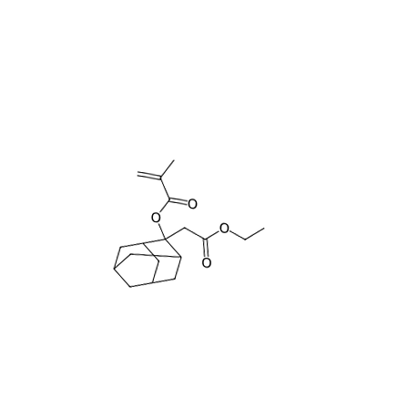 C=C(C)C(=O)OC1(CC(=O)OCC)C2CC3CC(C2)CC1C3